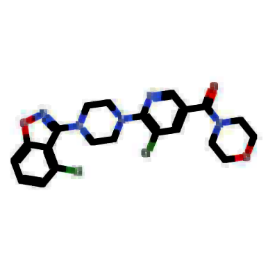 O=C(c1cnc(N2CCN(c3noc4cccc(Cl)c34)CC2)c(Cl)c1)N1CCOCC1